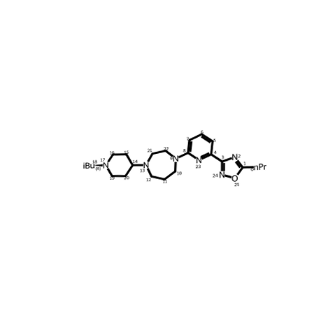 CCCc1nc(-c2cccc(N3CCCN(C4CCN([C@H](C)CC)CC4)CC3)n2)no1